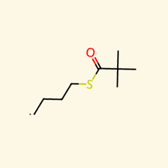 [CH2]CCCSC(=O)C(C)(C)C